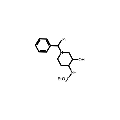 CCOC(=O)NC1CCN(C(c2ccccc2)C(C)C)CC1O